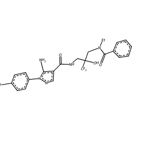 CCN(CC(O)(CNC(=O)c1cnn(-c2ccc(F)cc2)c1N)C(F)(F)F)C(=O)c1ccccc1